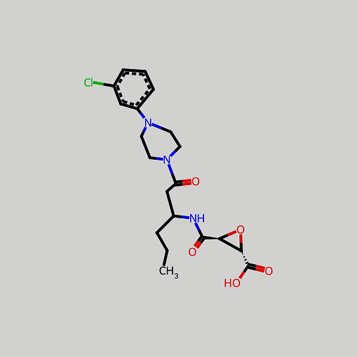 CCCC(CC(=O)N1CCN(c2cccc(Cl)c2)CC1)NC(=O)[C@H]1O[C@@H]1C(=O)O